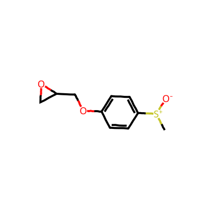 C[S+]([O-])c1ccc(OCC2CO2)cc1